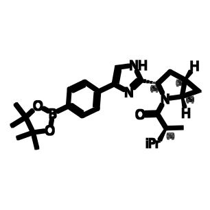 CC(C)[C@H](C)C(=O)N1[C@H](c2nc(-c3ccc(B4OC(C)(C)C(C)(C)O4)cc3)c[nH]2)C[C@@H]2C[C@@H]21